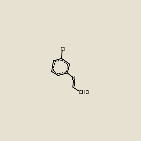 O=CC=Nc1cccc(Cl)c1